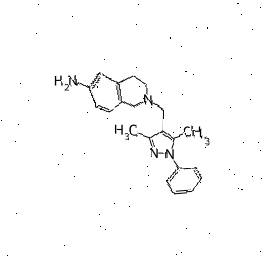 Cc1nn(-c2ccccc2)c(C)c1CN1CCc2cc(N)ccc2C1